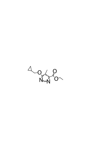 CCOC(=O)c1ncnc(OCC2CC2)c1C